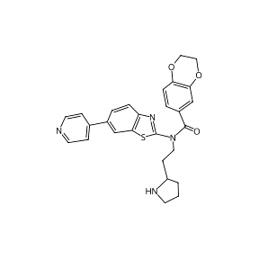 O=C(c1ccc2c(c1)OCCO2)N(CCC1CCCN1)c1nc2ccc(-c3ccncc3)cc2s1